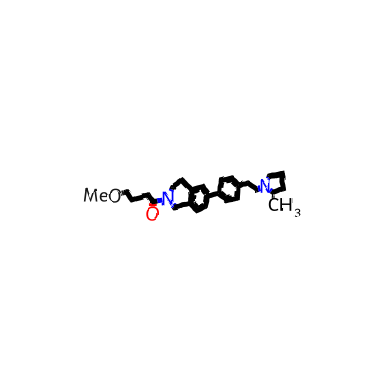 COCCCC(=O)N1CCc2cc(-c3ccc(CCN4CCC[C@H]4C)cc3)ccc2C1